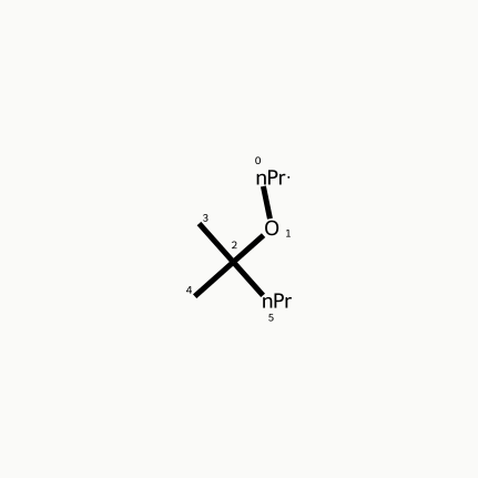 CC[CH]OC(C)(C)CCC